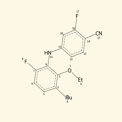 CCOc1c(C(C)CC)ccc(F)c1Nc1ccc(C#N)c(F)c1